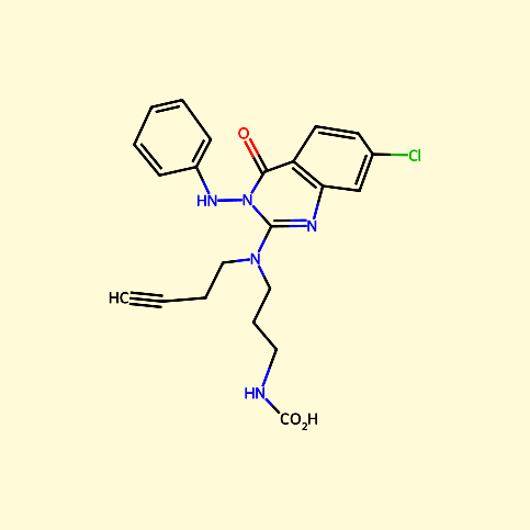 C#CCCN(CCCNC(=O)O)c1nc2cc(Cl)ccc2c(=O)n1Nc1ccccc1